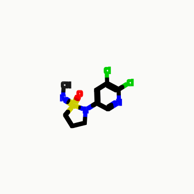 N#CN=S1(=O)CCCN1c1cnc(Cl)c(Cl)c1